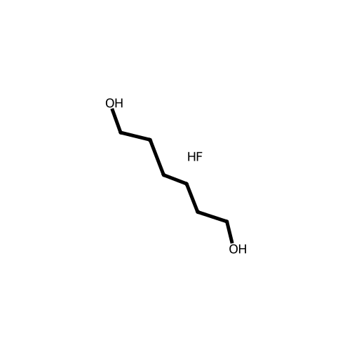 F.OCCCCCCO